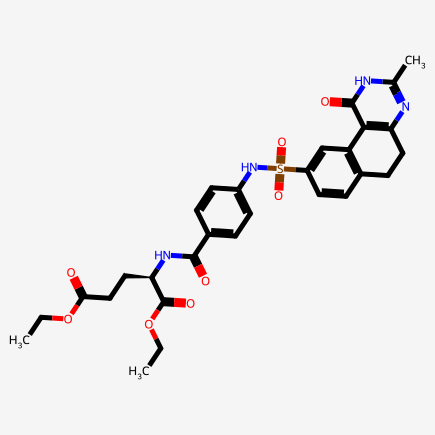 CCOC(=O)CC[C@@H](NC(=O)c1ccc(NS(=O)(=O)c2ccc3c(c2)-c2c(nc(C)[nH]c2=O)CC3)cc1)C(=O)OCC